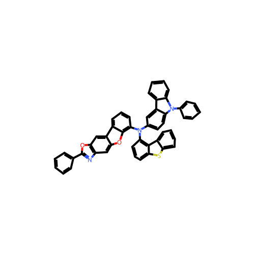 c1ccc(-c2nc3cc4oc5c(N(c6ccc7c(c6)c6ccccc6n7-c6ccccc6)c6cccc7sc8ccccc8c67)cccc5c4cc3o2)cc1